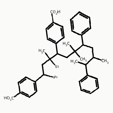 CCC(C)(CC(c1ccc(C(=O)O)cc1)C(C)C)C(CC(C)(C)C(CC(C)C(C)c1ccccc1)c1ccccc1)c1ccc(C(=O)O)cc1